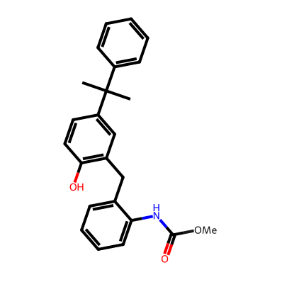 COC(=O)Nc1ccccc1Cc1cc(C(C)(C)c2ccccc2)ccc1O